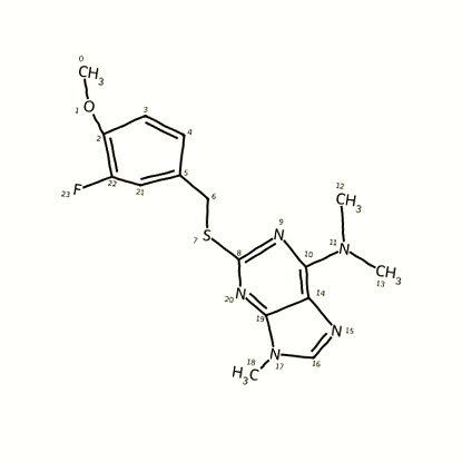 COc1ccc(CSc2nc(N(C)C)c3ncn(C)c3n2)cc1F